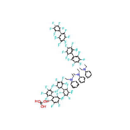 CCN(CC)c1ccccc1.CCN(CC)c1ccccc1.CCN(CC)c1ccccc1.Fc1c(F)c(F)c(-c2c(F)c(F)c(F)c(F)c2F)c(F)c1F.Fc1c(F)c(F)c(-c2c(F)c(F)c(F)c(F)c2F)c(F)c1F.Fc1c(F)c(F)c(-c2c(F)c(F)c(F)c(F)c2F)c(F)c1F.Fc1c(F)c(F)c(-c2c(F)c(F)c(F)c(F)c2F)c(F)c1F.OB(O)O